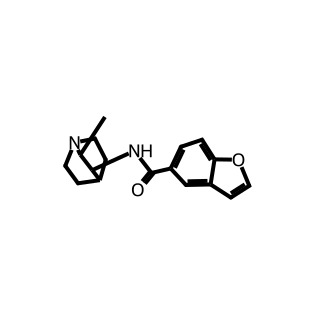 CC1C(NC(=O)c2ccc3occc3c2)C2CCN1CC2